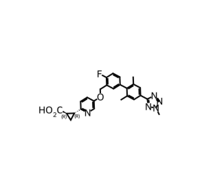 Cc1cc(-c2nnn(C)n2)cc(C)c1-c1ccc(F)c(COc2ccc([C@@H]3C[C@H]3C(=O)O)nc2)c1